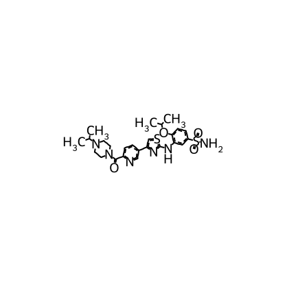 CC(C)Oc1ccc(S(N)(=O)=O)cc1Nc1nc(-c2ccc(C(=O)N3CCN(C(C)C)CC3)nc2)cs1